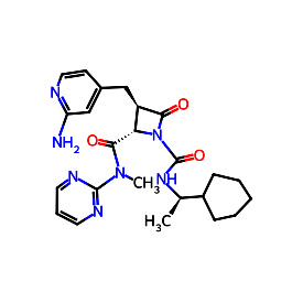 C[C@@H](NC(=O)N1C(=O)[C@H](Cc2ccnc(N)c2)[C@H]1C(=O)N(C)c1ncccn1)C1CCCCC1